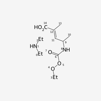 CCNCC.CCOOC(=O)NC(C)C=C(C)C(=O)O